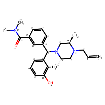 C=CCN1C[C@H](C)N([C@@H](c2cccc(O)c2)c2cccc(C(=O)N(C)C(C)C)c2)C[C@H]1C